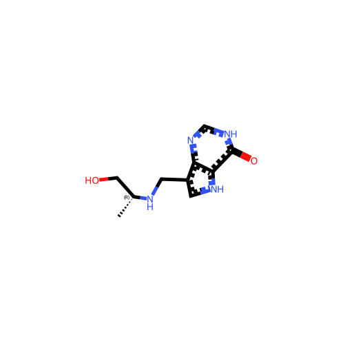 C[C@H](CO)NCc1c[nH]c2c(=O)[nH]cnc12